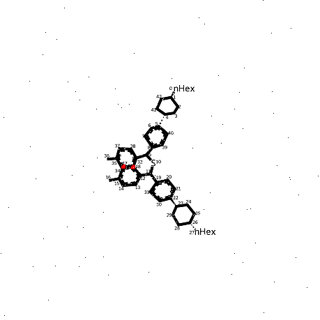 CCCCCC[C@H]1CC[C@H](c2ccc(C(SC(c3ccc(C)cc3)c3ccc([C@H]4CC[C@H](CCCCCC)CC4)cc3)c3ccc(C)cc3)cc2)CC1